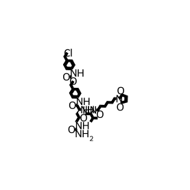 CC(C)[C@H](NC(=O)CCCCCN1C(=O)C=CC1=O)C(=O)N[C@@H](CCCNC(N)=O)C(=O)Nc1ccc(COC(=O)Nc2ccc(CCl)cc2)cc1